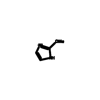 COC1=[N+]C=CN1